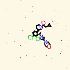 O=C(CC1CC1)N1CCC[C@](CCN2CC(N3CCOCC3)C2)(c2ccc(Cl)c(Cl)c2)C1